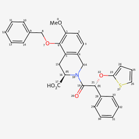 COc1ccc2c(c1OCc1ccccc1)C[C@H](C(=O)O)N(C(=O)[C@H](Oc1cccs1)c1ccccc1)C2